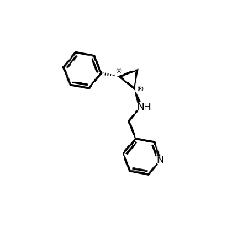 c1ccc([C@@H]2C[C@H]2NCc2cccnc2)cc1